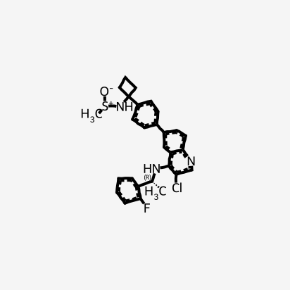 C[C@@H](Nc1c(Cl)cnc2ccc(-c3ccc(C4(N[S+](C)[O-])CCC4)cc3)cc12)c1ccccc1F